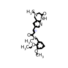 CCOc1c(CN(C)C(=O)/C=C/c2cnc3c(c2)CN(C)CC(=O)N3)cccc1OC